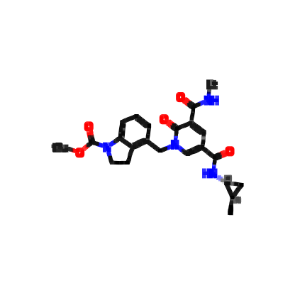 CCNC(=O)c1cc(C(=O)N[C@@H]2C[C@H]2C)cn(Cc2cccc3c2CCN3C(=O)OC(C)(C)C)c1=O